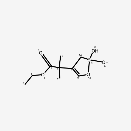 CCOC(=O)C(C)(C)C1=COS(O)(O)C1